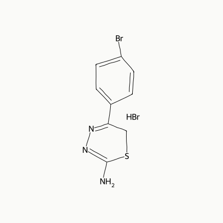 Br.NC1=NN=C(c2ccc(Br)cc2)CS1